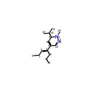 CC/C=C(\CCC)C1=CC(C(C)C)N(C)N=C1